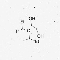 CCC(I)OC(I)CC.OCCO